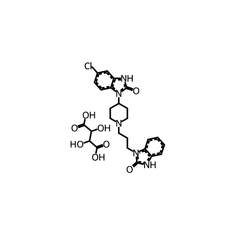 O=C(O)C(O)C(O)C(=O)O.O=c1[nH]c2ccccc2n1CCCN1CCC(n2c(=O)[nH]c3cc(Cl)ccc32)CC1